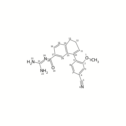 COc1cc(C#N)ccc1C1=CCCc2ccc(C(=O)N=C(N)N)cc21